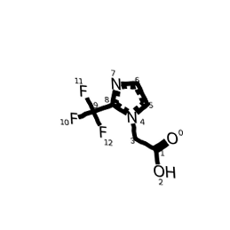 O=C(O)Cn1ccnc1C(F)(F)F